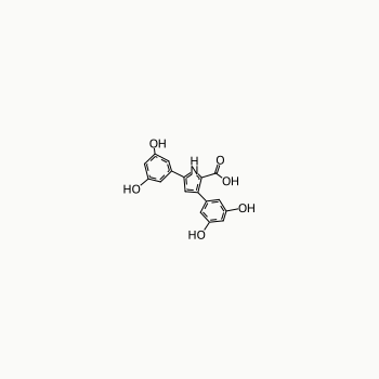 O=C(O)c1[nH]c(-c2cc(O)cc(O)c2)cc1-c1cc(O)cc(O)c1